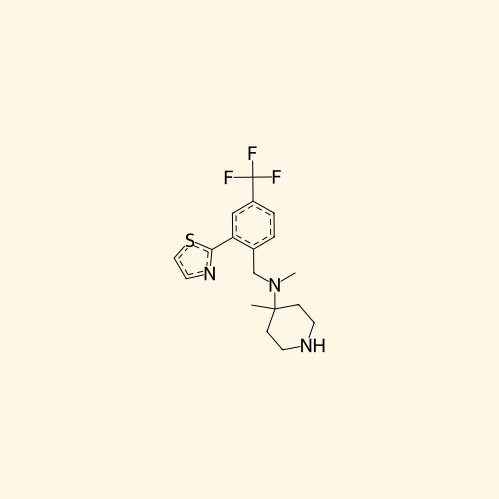 CN(Cc1ccc(C(F)(F)F)cc1-c1nccs1)C1(C)CCNCC1